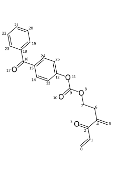 C=CC(=O)C(=C)CCOC(=O)Oc1ccc(C(=O)c2ccccc2)cc1